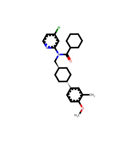 COc1ccc([C@H]2CC[C@H](CN(C(=O)C3CCCCC3)c3cc(Br)ccn3)CC2)cc1C